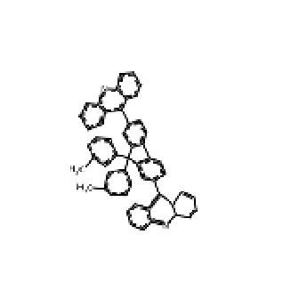 Cc1cccc(C2(c3cccc(C)c3)c3cc(C4=c5ccccc5=NC5C=CC=CC45)ccc3-c3ccc(-c4c5ccccc5nc5ccccc45)cc32)c1